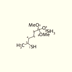 COC(CCCC(C)S)(OC)O[SiH3]